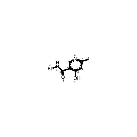 CCNC(=O)c1cnc(C)cc1O